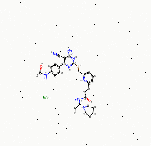 CCC(NC(=O)CCc1cccc(CSc2nc(N)c(C#N)c(-c3ccc(NC(C)=O)cc3)n2)n1)N1CCCCC1.Cl